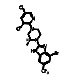 C[C@H]1CN(c2ncc(Cl)cc2Cl)CCN1c1nc2c(Br)cc(C(F)(F)F)cc2[nH]1